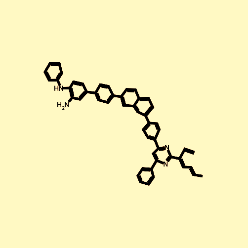 C=C/C(=C\C=C\C)c1nc(-c2ccccc2)cc(-c2ccc(-c3ccc4ccc(-c5ccc(-c6ccc(Nc7ccccc7)c(N)c6)cc5)cc4c3)cc2)n1